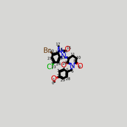 COc1ccc(CN2C(=O)CCC(n3c(=O)n(C)c4c(Br)cc(Cl)cc43)C2=O)cc1